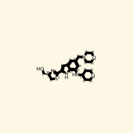 OC[C@@H]1CSC(c2cc3cc(CN4CCOCC4)cc(NC4CCOCC4)c3[nH]2)=N1